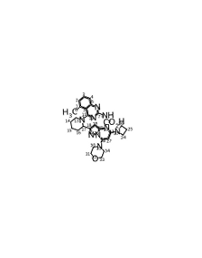 Cc1cccc2nc(NC(=O)O)nc(N3CCCCC3c3cc4nc(N5CCC5)cc(N5CCOCC5)n4n3)c12